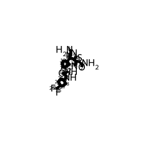 NC(=O)c1sc2nc(N)nc(-c3cccc(NC(=O)Nc4ccc(C(F)F)cc4)c3)c2c1N